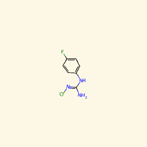 NC(=NCl)Nc1ccc(F)cc1